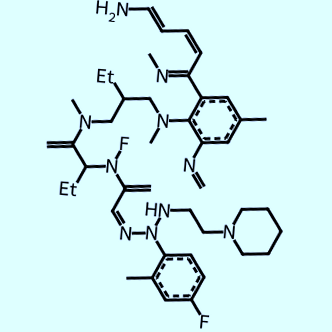 C=Nc1cc(C)cc(C(/C=C\C=C\N)=N/C)c1N(C)CC(CC)CN(C)C(=C)C(CC)N(F)C(=C)/C=N\N(NCCN1CCCCC1)c1ccc(F)cc1C